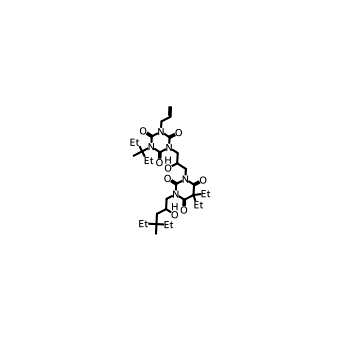 C=CCn1c(=O)n(CC(O)CN2C(=O)N(CC(O)CC(C)(CC)CC)C(=O)C(CC)(CC)C2=O)c(=O)n(C(C)(CC)CC)c1=O